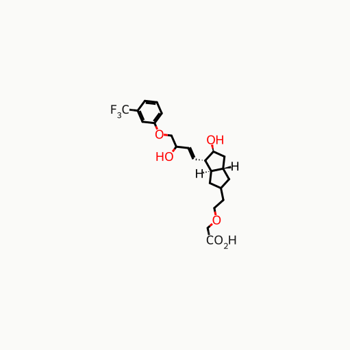 O=C(O)COCCC1C[C@H]2C[C@H](O)[C@@H](C=CC(O)COc3cccc(C(F)(F)F)c3)[C@@H]2C1